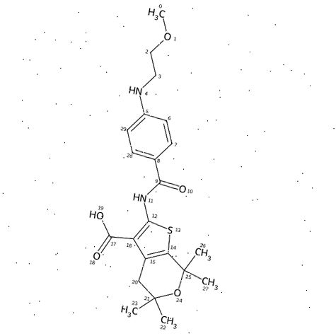 COCCNc1ccc(C(=O)Nc2sc3c(c2C(=O)O)CC(C)(C)OC3(C)C)cc1